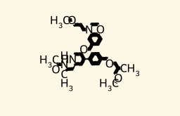 COCCCN1CCOc2ccc(CO[C@H]3CN[C@H](C[C@H](C)NC(C)=O)C[C@@H]3c3ccc(COCC(C)COC)cc3)cc21